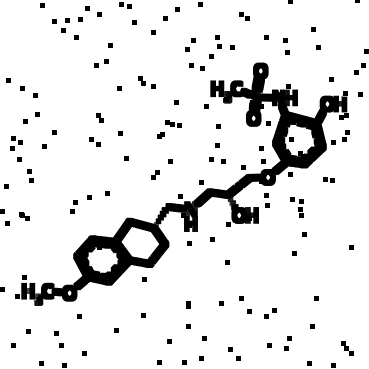 COc1ccc2c(c1)CC[C@@H](CNC[C@@H](O)COc1ccc(O)c(NS(C)(=O)=O)c1)C2